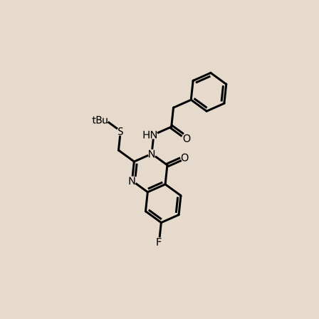 CC(C)(C)SCc1nc2cc(F)ccc2c(=O)n1NC(=O)Cc1ccccc1